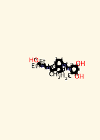 C=C1/C(=C/C=C2/CCC[C@]3(C)[C@@H]([C@H](C)/C=C/C=C/C(O)(CC)CC)CC[C@@H]23)C[C@@H](O)C[C@@H]1O